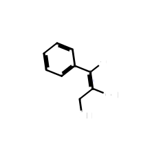 OC/C(O)=C(/O)c1ccccc1